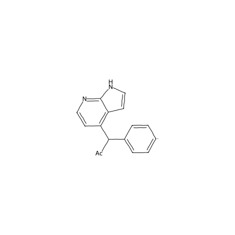 CC(=O)C(c1cc[c]cc1)c1ccnc2[nH]ccc12